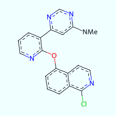 CNc1cc(-c2cccnc2Oc2cccc3c(Cl)nccc23)ncn1